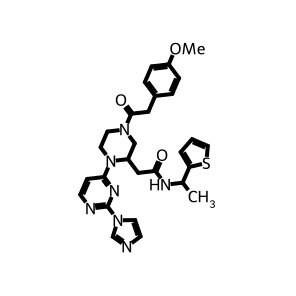 COc1ccc(CC(=O)N2CCN(c3ccnc(-n4ccnc4)n3)C(CC(=O)NC(C)c3cccs3)C2)cc1